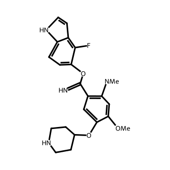 CNc1cc(OC)c(OC2CCNCC2)cc1C(=N)Oc1ccc2[nH]ccc2c1F